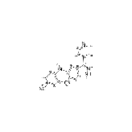 CN(c1ccc2[nH]nc(-c3ccncc3)c2c1)c1ccc(C#N)cc1C#N